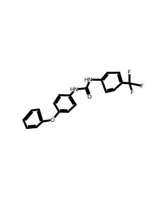 O=C(Nc1ccc(Oc2ccccc2)cc1)Nc1ccc(C(F)(F)F)cc1